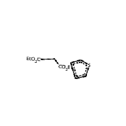 CCOC(=O)CC(=O)OCC.c1ccsc1